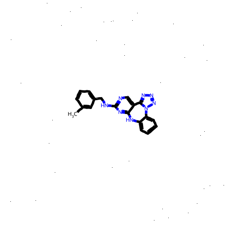 Cc1cccc(CNc2ncc3c(n2)Nc2ccccc2-n2nnnc2-3)c1